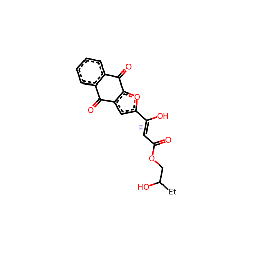 CCC(O)COC(=O)/C=C(\O)c1cc2c(o1)C(=O)c1ccccc1C2=O